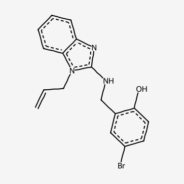 C=CCn1c(NCc2cc(Br)ccc2O)nc2ccccc21